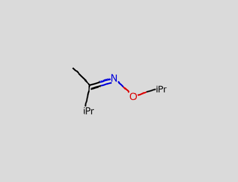 C/C(=N/OC(C)C)C(C)C